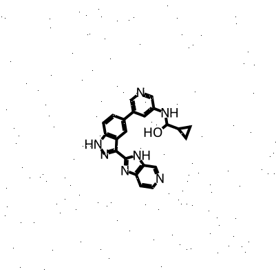 OC(Nc1cncc(-c2ccc3[nH]nc(-c4nc5ccncc5[nH]4)c3c2)c1)C1CC1